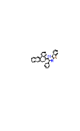 c1ccc(C2=Nc3sc4ccccc4c3NC2C2CCc3cc4ccccc4cc3-c3ccccc32)cc1